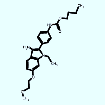 CCCCOC(=O)Nc1ccc(-c2c(N)c3ccc(OCCOC)cc3n2CC)cc1